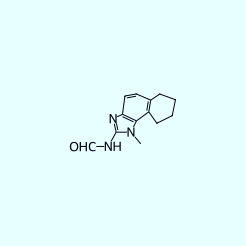 Cn1c(NC=O)nc2ccc3c(c21)CCCC3